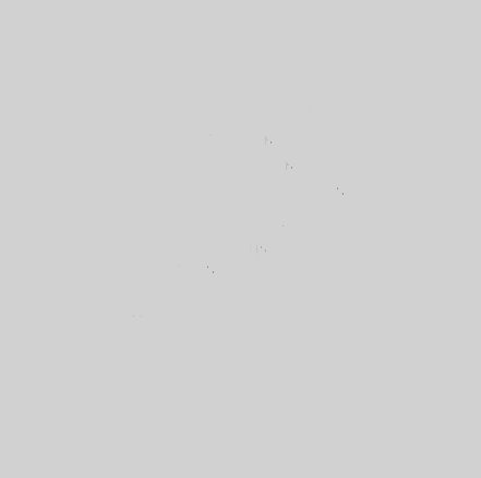 C[S+]([O-])CC(C)(C)NC(=O)c1cc2ccccc2c(Cl)c1NC(=O)c1cc(C(F)(F)F)nn1-c1ncccc1Cl